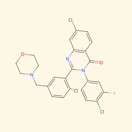 O=c1c2ccc(Cl)cc2nc(-c2cc(CN3CCOCC3)ccc2Cl)n1-c1ccc(Cl)c(F)c1